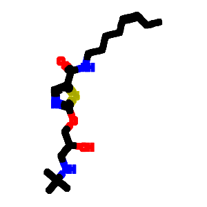 CC/C=C\CCCCNC(=O)c1cnc(OCC(O)CNC(C)(C)C)s1